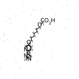 O=C(O)COCCCCCCCOc1ccc(-n2cncn2)nc1